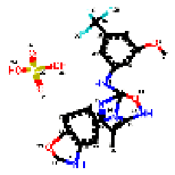 COc1cc(NC23N=CC(C)=C(NO2)N3c2ccc3c(c2)NCO3)cc(C(F)(F)F)c1.O=S(=O)(O)O